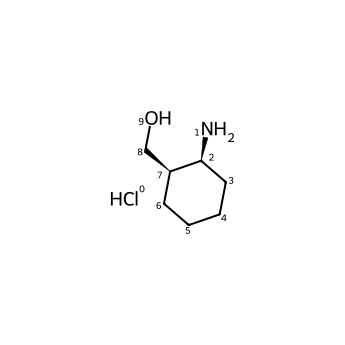 Cl.N[C@H]1CCCC[C@H]1CO